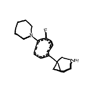 Fc1cc(C23CNCC2C3)ccc1N1CCCCC1